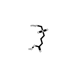 CCCCCCCCS(=O)(=O)CCCC(=O)OO